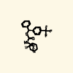 O=C(N[C@H]1CN2CCC1CC2)OC(c1ccccc1)c1ccc(C(F)(F)F)cc1